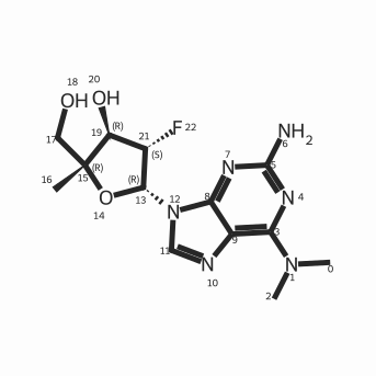 CN(C)c1nc(N)nc2c1ncn2[C@@H]1O[C@](C)(CO)[C@@H](O)[C@@H]1F